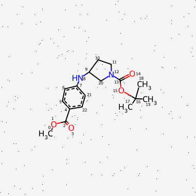 COC(=O)c1ccc(NC2CCN(C(=O)OC(C)(C)C)C2)cc1